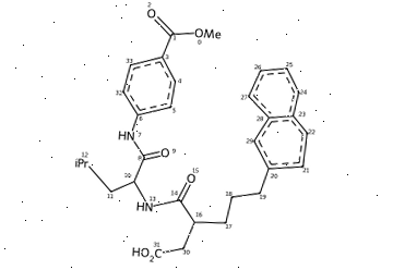 COC(=O)c1ccc(NC(=O)C(CC(C)C)NC(=O)C(CCCc2ccc3ccccc3c2)CC(=O)O)cc1